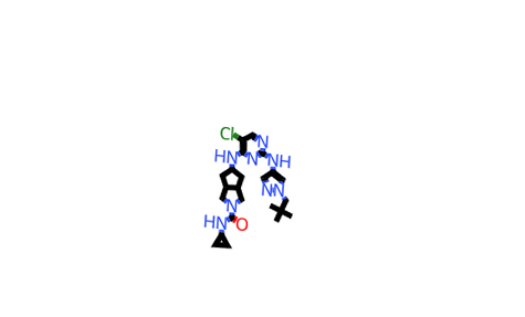 CC(C)(C)Cn1cc(Nc2ncc(Cl)c(NC3CC4CN(C(=O)NC5CC5)CC4C3)n2)cn1